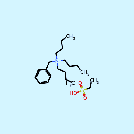 CCCC[N+](CCCC)(CCCC)Cc1ccccc1.CCS(=O)(=O)O